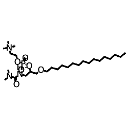 CCCCCCCCCCCCCCCCOCC(CNC(=O)N(C)C)OP(=O)([O-])OCC[N+](C)(C)C